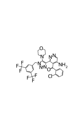 Nc1cnnc(-c2nnn(Cc3cc(C(F)(F)F)cc(C(F)(F)F)c3)c2N2CCOCC2)c1C(=O)c1ccccc1Cl